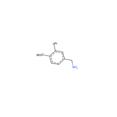 CCCc1cc(CN)ccc1OC